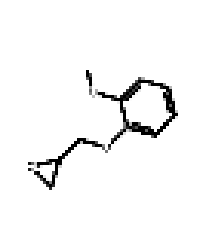 IOc1ccccc1OCC1CO1